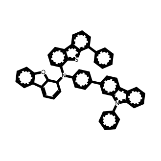 C1=CC(N(c2ccc(-c3ccc4c5ccccc5n(-c5ccccc5)c4c3)cc2)c2cccc3c2sc2c(-c4ccccc4)cccc23)C2Oc3ccccc3C2=C1